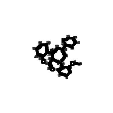 COc1ccccc1N1C=C(c2ccccn2)C=C(c2ccccc2Cl)C1C=O